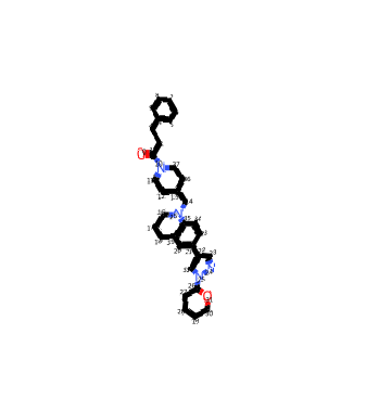 O=C(CCc1ccccc1)N1CCC(CN2CCCc3cc(-c4cnn(C5CCCCO5)c4)ccc32)CC1